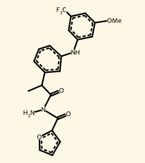 COc1cc(Nc2cccc(C(C)C(=O)N(N)C(=O)c3ccco3)c2)cc(C(F)(F)F)c1